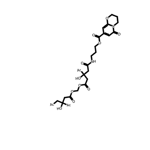 CC(=O)CC(O)(CC(=O)OCOC(=O)CC(O)(CC(=O)NCCCOC(=O)c1cc2n(c(=O)c1)CCCO2)C(C)=O)C(C)=O